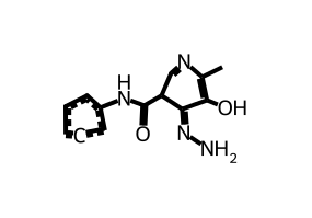 CC1=C(O)C(=NN)C(C(=O)Nc2ccccc2)C=N1